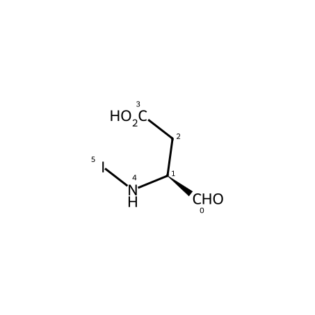 O=C[C@H](CC(=O)O)NI